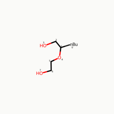 CCCCC(CO)OCCO